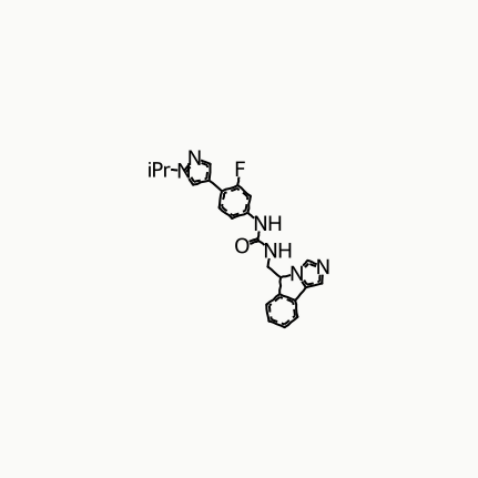 CC(C)n1cc(-c2ccc(NC(=O)NCC3c4ccccc4-c4cncn43)cc2F)cn1